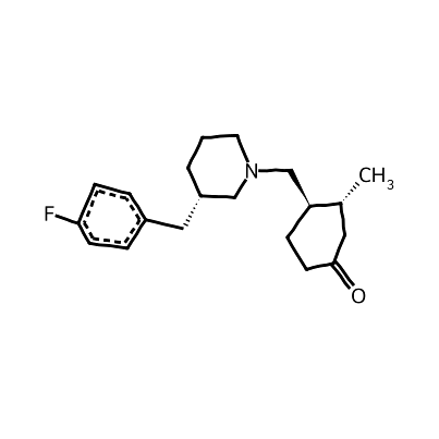 C[C@@H]1CC(=O)CC[C@H]1CN1CCC[C@@H](Cc2ccc(F)cc2)C1